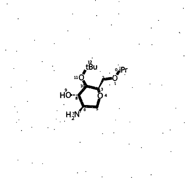 CC(C)OC[C@H]1OC[C@@H](N)[C@H](O)C1OC(C)(C)C